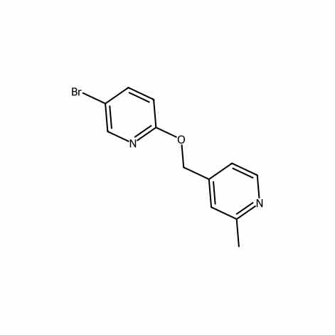 Cc1cc(COc2ccc(Br)cn2)ccn1